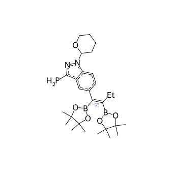 CC/C(B1OC(C)(C)C(C)(C)O1)=C(/B1OC(C)(C)C(C)(C)O1)c1ccc2c(c1)c(P)nn2C1CCCCO1